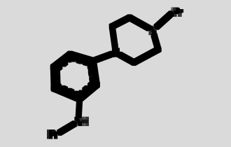 CC(C)Nc1cccc(N2CCN(C(C)C)CC2)c1